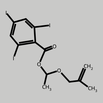 C=C(C)COC(C)OC(=O)c1c(I)cc(I)cc1I